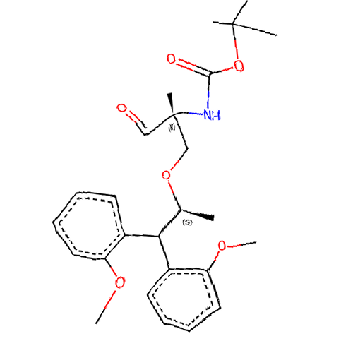 COc1ccccc1C(c1ccccc1OC)[C@H](C)OC[C@](C)(C=O)NC(=O)OC(C)(C)C